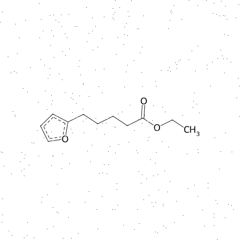 CCOC(=O)CCCCc1ccco1